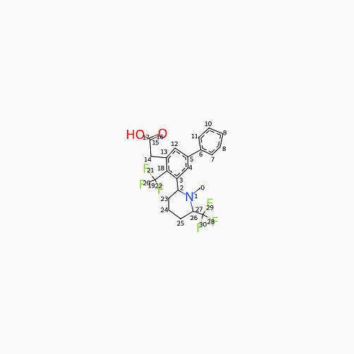 CN1C(c2cc(-c3ccccc3)cc(CC(=O)O)c2C(F)(F)F)CCCC1C(F)(F)F